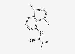 C=C(C)C(=O)Oc1cccc2c(C)ccc(C)c12